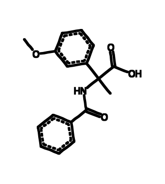 COc1cccc(C(C)(NC(=O)c2ccccc2)C(=O)O)c1